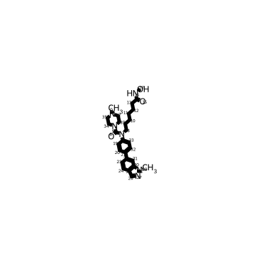 CN1CCN(C(=O)N(CCCCCCC(=O)NO)c2ccc(-c3ccc4cnn(C)c4c3)cc2)CC1